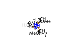 CO[Si](C)(C)CSc1nc(SC[Si](C)(C)OC)nc(SC[Si](C)(C)OC)n1